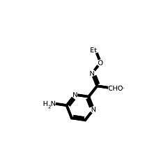 CCON=C([C]=O)c1nccc(N)n1